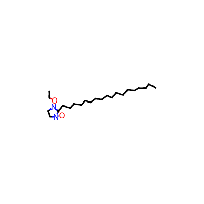 CCCCCCCCCCCCCCCCCCC12ON1CCN2OCC